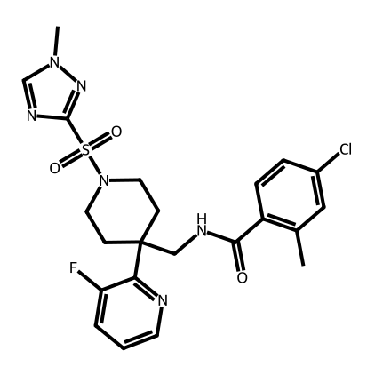 Cc1cc(Cl)ccc1C(=O)NCC1(c2ncccc2F)CCN(S(=O)(=O)c2ncn(C)n2)CC1